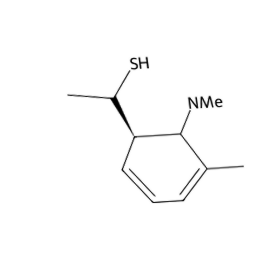 CNC1C(C)=CC=C[C@H]1C(C)S